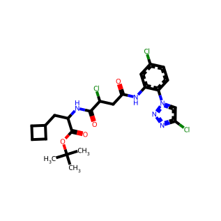 CC(C)(C)OC(=O)C(CC1CCC1)NC(=O)C(Cl)CC(=O)Nc1cc(Cl)ccc1-n1cc(Cl)nn1